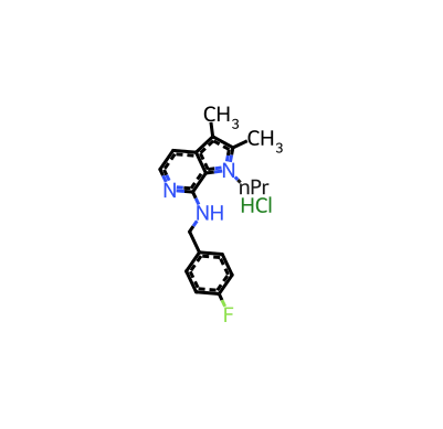 CCCn1c(C)c(C)c2ccnc(NCc3ccc(F)cc3)c21.Cl